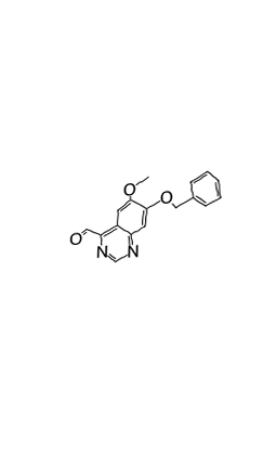 COc1cc2c(C=O)ncnc2cc1OCc1ccccc1